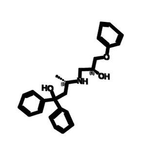 C[C@@H](CC(O)(c1ccccc1)c1ccccc1)NC[C@H](O)COc1ccccc1